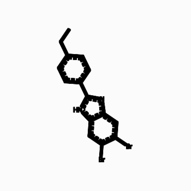 CCc1ccc(-c2nc3cc(Br)c(Br)cc3[nH]2)cc1